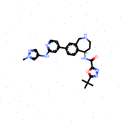 Cn1cc(Nc2cc(-c3ccc4c(c3)CNCC[C@H]4NC(=O)c3nnc(C(C)(C)C)o3)ccn2)cn1